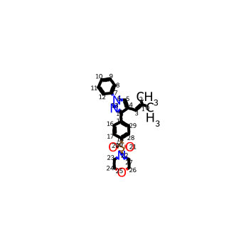 CC(C)=Cc1cn(-c2ccccc2)nc1-c1ccc(S(=O)(=O)N2CCOCC2)cc1